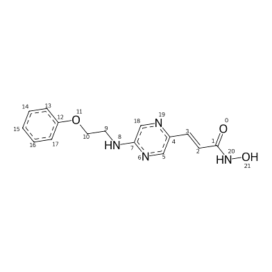 O=C(/C=C/c1cnc(NCCOc2ccccc2)cn1)NO